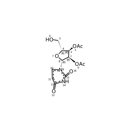 CC(=O)O[C@@H]1[C@H](OC(C)=O)[C@@H](CO)O[C@H]1n1ccc(=O)[nH]c1=O